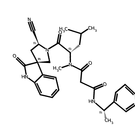 CC(C)C[C@@H](C(=O)N1C[C@]2(C[C@H]1C#N)C(=O)Nc1ccccc12)N(C)C(=O)CC(=O)N[C@@H](C)c1ccccc1